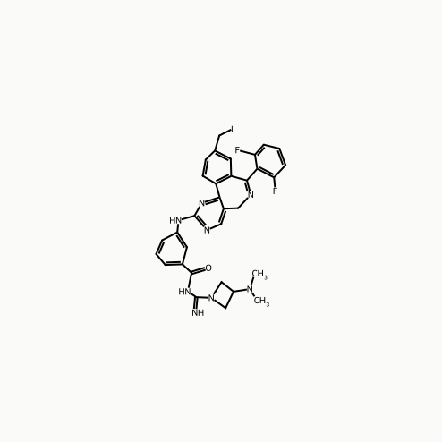 CN(C)C1CN(C(=N)NC(=O)c2cccc(Nc3ncc4c(n3)-c3ccc(CI)cc3C(c3c(F)cccc3F)=NC4)c2)C1